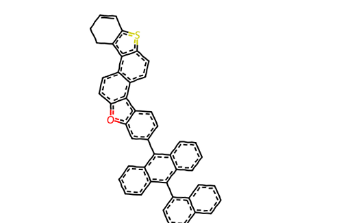 C1=Cc2sc3ccc4c(ccc5oc6cc(-c7c8ccccc8c(-c8cccc9ccccc89)c8ccccc78)ccc6c54)c3c2CC1